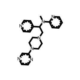 CN(c1ccccn1)C(CN1CCN(c2cnccn2)CC1)c1ccncc1